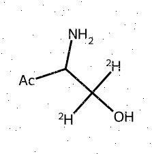 [2H]C([2H])(O)C(N)C(C)=O